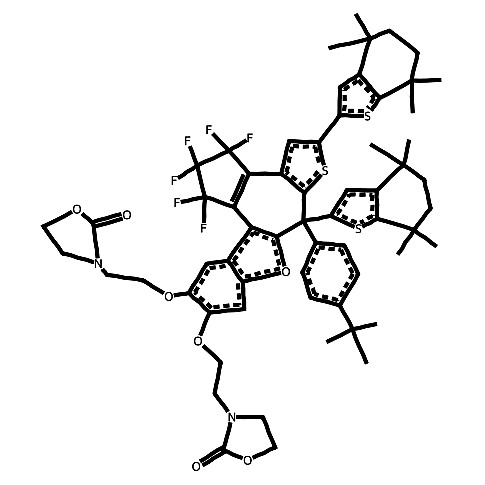 CC(C)(C)c1ccc(C2(c3cc4c(s3)C(C)(C)CCC4(C)C)c3oc4cc(OCCN5CCOC5=O)c(OCCN5CCOC5=O)cc4c3C3=C(c4cc(-c5cc6c(s5)C(C)(C)CCC6(C)C)sc42)C(F)(F)C(F)(F)C3(F)F)cc1